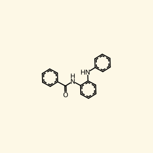 O=C(Nc1ccccc1Nc1ccccc1)c1ccccc1